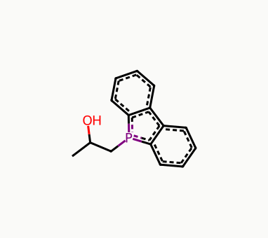 CC(O)Cp1c2ccccc2c2ccccc21